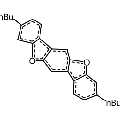 CCCCc1ccc2c(c1)oc1cc3c(cc12)oc1cc(CCCC)ccc13